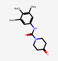 COc1cc(NC(=O)N2CCC(=O)CC2)cc(OC)c1OC